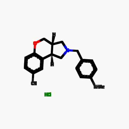 CC(=O)Nc1ccc(CN2C[C@H]3COc4ccc(C#N)cc4[C@@H]3C2)cc1.Cl